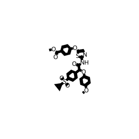 COC(=O)c1ccc(Oc2cnc(NC(=O)C(Oc3ccc(OC)cc3)c3ccc(S(=O)(=O)C4CC4)cc3)s2)cc1